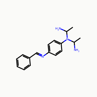 CC(N)N(c1ccc(N=Cc2ccccc2)cc1)C(C)N